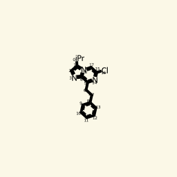 CC(C)c1cnc2c(C[CH]c3ccccc3)nc(Cl)cn12